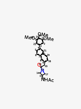 COc1cc(-c2ccc3cc(CC(=O)N4CC(NC(C)=O)C4)ccc3c2)cc(OC)c1OC